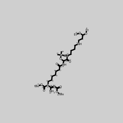 CCOC(CCNCCCCNC(=O)C(NC(=O)CCCCCCN(C(=O)OC(C)(C)C)C(N)=NC(=O)OC(C)(C)C)O[Si](C)(C)C(C)(C)C)OCC